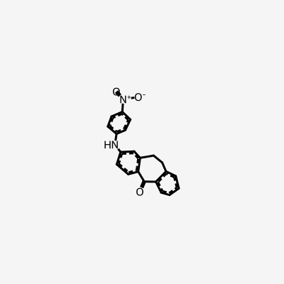 O=C1c2ccccc2CCc2cc(Nc3ccc([N+](=O)[O-])cc3)ccc21